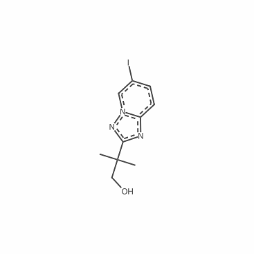 CC(C)(CO)c1nc2ccc(I)cn2n1